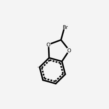 BrC1Oc2[c]cccc2O1